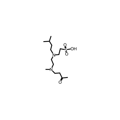 CC(=O)CCN(C)CCN(CCC(C)C)CCS(=O)(=O)O